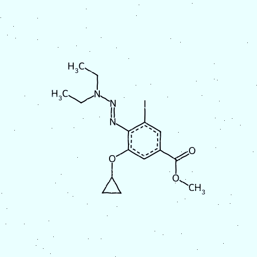 CCN(CC)N=Nc1c(I)cc(C(=O)OC)cc1OC1CC1